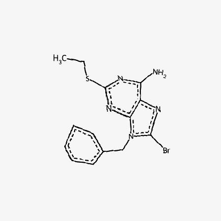 CCSc1nc(N)c2nc(Br)n(Cc3ccccc3)c2n1